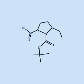 CC(C)(C)OC(=O)N1C(CF)CCC1C(=O)O